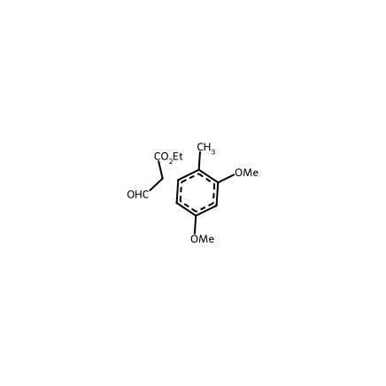 CCOC(=O)CC=O.COc1ccc(C)c(OC)c1